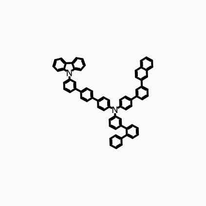 c1ccc(-c2ccccc2-c2cccc(N(c3ccc(-c4ccc(-c5cccc(-n6c7ccccc7c7ccccc76)c5)cc4)cc3)c3ccc(-c4cccc(-c5ccc6ccccc6c5)c4)cc3)c2)cc1